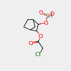 O=C(CCl)OC1C2CCC(C2)C1O[SH](=O)=O